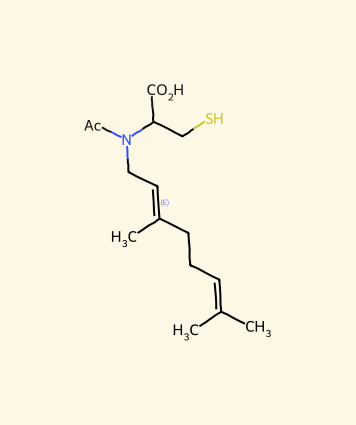 CC(=O)N(C/C=C(\C)CCC=C(C)C)C(CS)C(=O)O